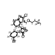 C[Si](C)(C)CCOCn1c(Cl)nc2nccc(-c3noc(=O)n3-c3cccc(Br)c3)c21